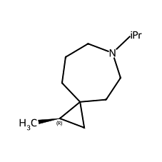 CC(C)N1CCCC2(CC1)C[C@H]2C